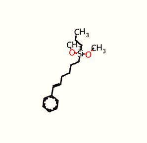 CCC[Si](CCCCC=Cc1ccccc1)(OC)OC